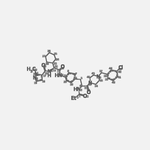 CCC(=O)NC(Cc1ccc(NC(=O)[C@@H](NC(=O)c2ccnn2C)C2CCCCC2)cc1)C(=O)N1CCN(Cc2cccc(Cl)c2)CC1